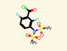 CCCS(=O)(=O)N(c1ccc(F)c(C(=O)Cl)c1F)S(=O)(=O)CCC